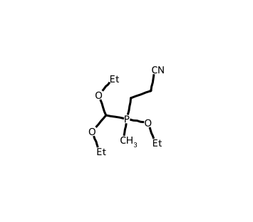 CCOC(OCC)[P](C)(CCC#N)OCC